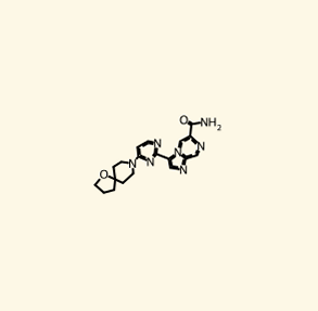 NC(=O)c1cn2c(-c3nccc(N4CCC5(CCCO5)CC4)n3)cnc2cn1